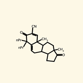 CCCC1(CCC)C(=O)C(C#N)=CC2(C)C1=CCC1C2CCC2(C)C(=O)CCC12